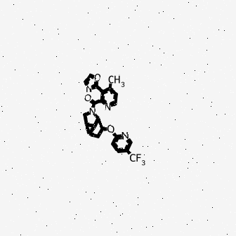 Cc1ccnc(C(=O)N2CC3C4CC(Oc5ccc(C(F)(F)F)cn5)C2C43)c1-c1ncco1